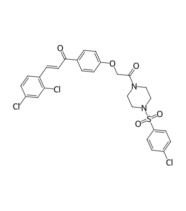 O=C(C=Cc1ccc(Cl)cc1Cl)c1ccc(OCC(=O)N2CCN(S(=O)(=O)c3ccc(Cl)cc3)CC2)cc1